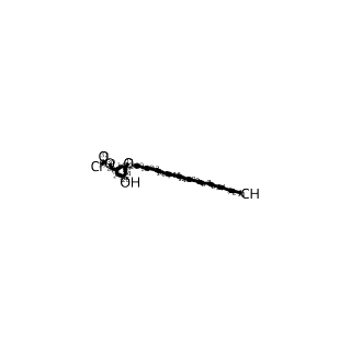 C#CC#CC#CC#CC#CC#CC#CC#CC#CC#CC#COc1cc(O)cc(COC(=O)Cl)c1